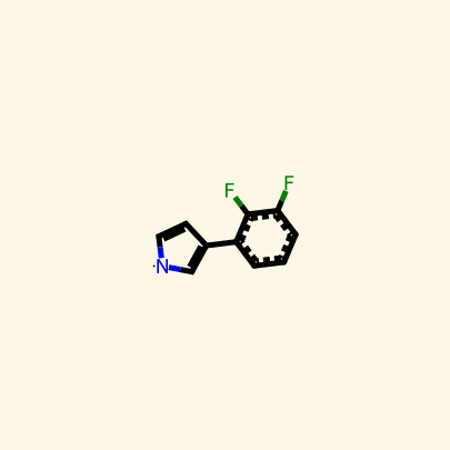 Fc1cccc(C2=C[N]C=C2)c1F